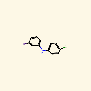 Clc1ccc(Nc2cccc(I)c2)cc1